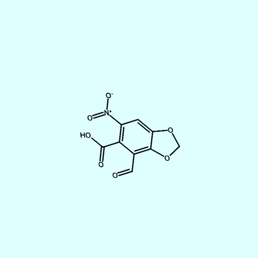 O=Cc1c2c(cc([N+](=O)[O-])c1C(=O)O)OCO2